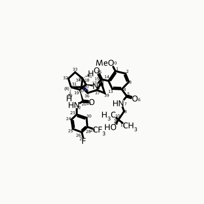 COc1ccc(C(=O)NCC(C)(C)O)cc1C(=O)N[C@H]1[C@@H](C(=O)Nc2ccc(F)c(C(F)(F)F)c2)[C@H]2CC[C@@H]1/C2=C\C1CC1